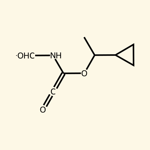 CC(OC(=C=O)N[C]=O)C1CC1